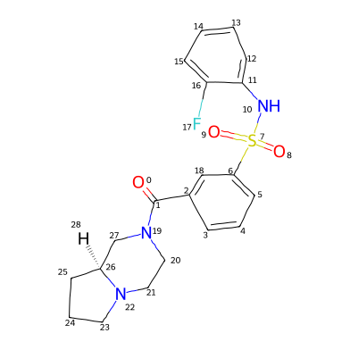 O=C(c1cccc(S(=O)(=O)Nc2ccccc2F)c1)N1CCN2CCC[C@H]2C1